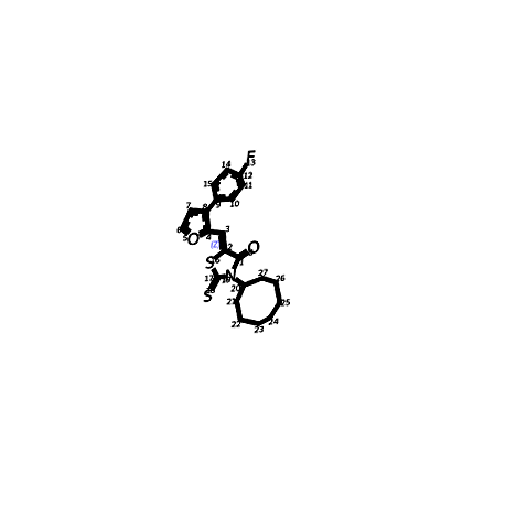 O=C1/C(=C/c2occc2-c2ccc(F)cc2)SC(=S)N1C1CCCCCCC1